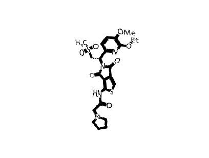 CCOc1nc([C@@H](CS(C)(=O)=O)N2C(=O)c3csc(NC(=O)CN4CCCC4)c3C2=O)ccc1OC